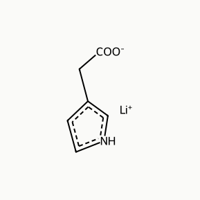 O=C([O-])Cc1cc[nH]c1.[Li+]